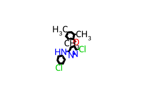 Cc1cc(C)c(Oc2cc(Nc3ccc(Cl)cc3)nnc2Cl)c(C)c1